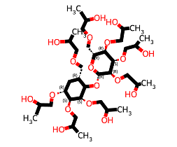 CC(O)COC[C@H]1C[C@@H](OCC(C)O)[C@H](OCC(C)O)[C@@H](OCC(C)O)C1O[C@@H]1O[C@H](COCC(C)O)[C@@H](OCC(C)O)[C@H](OCC(C)O)[C@H]1OCC(C)O